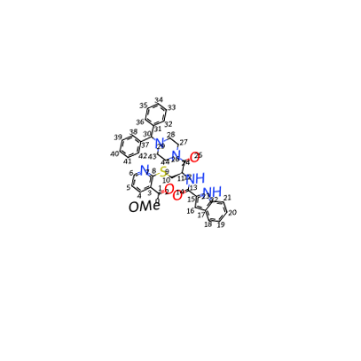 COC(=O)c1cccnc1SC[C@H](NC(=O)c1cc2ccccc2[nH]1)C(=O)N1CCN(C(c2ccccc2)c2ccccc2)CC1